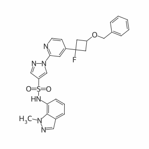 Cn1ncc2cccc(NS(=O)(=O)c3cnn(-c4cc(C5(F)CC(OCc6ccccc6)C5)ccn4)c3)c21